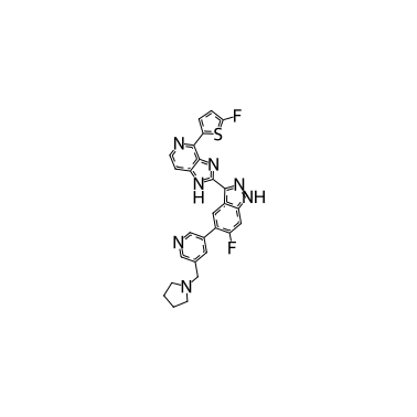 Fc1ccc(-c2nccc3[nH]c(-c4n[nH]c5cc(F)c(-c6cncc(CN7CCCC7)c6)cc45)nc23)s1